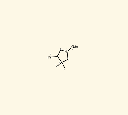 CSN1CC(C(C)C)C(C)(C)C1